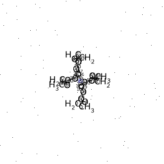 C=C(C)C(=O)OCCOc1ccc(/C=C/c2ccc(OCCOC(=O)C(=C)C)cc2OCCOC(=O)C(=C)C)c(OCCOC(=O)C(=C)C)c1